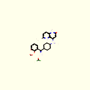 CN(c1cc(=O)n(C)c2ccc(C#N)nc12)C1CCC(/C(=N/OC(F)F)c2cccc3c2OCO3)CC1